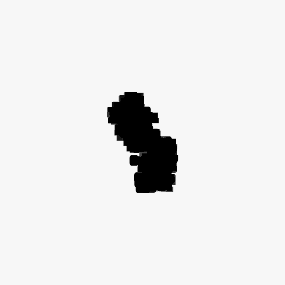 Cc1cccc(N(c2cc3c(sc4cc(N(c5cccc(C)c5)c5cccc6c5oc5c(-c7ccccc7)cccc56)c5ccccc5c43)c3ccccc23)c2cccc3c2oc2c(-c4ccccc4)cccc23)c1